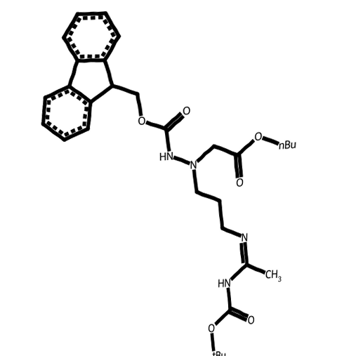 CCCCOC(=O)CN(CCC/N=C(/C)NC(=O)OC(C)(C)C)NC(=O)OCC1c2ccccc2-c2ccccc21